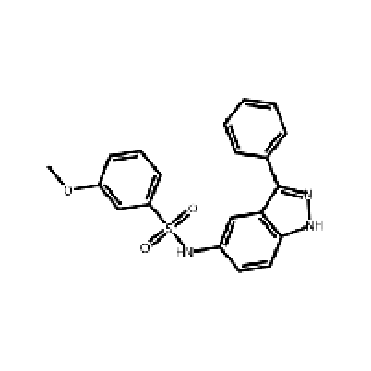 COc1cccc(S(=O)(=O)Nc2ccc3[nH]nc(-c4ccccc4)c3c2)c1